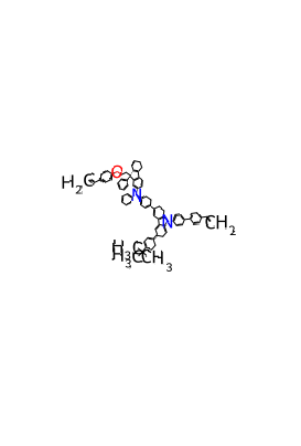 C=Cc1ccc(OCCC2(c3ccccc3)C3=C(CCC=C3)c3ccc(N(C4=CC=C(C5=Cc6c(n(-c7ccc(-c8ccc(C=C)cc8)cc7)c7c6=CC(C6=CC=C(C(C)(C)C)CC6)CC=7)CC5)CC4)c4ccccc4)cc32)cc1